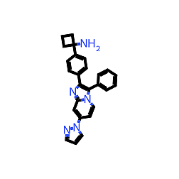 NC1(c2ccc(-c3nc4cc(-n5cccn5)ccn4c3-c3ccccc3)cc2)CCC1